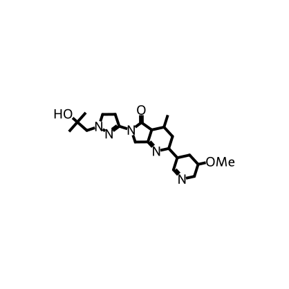 COC1CN=CC(C2CC(C)C3C(=O)N(C4=NN(CC(C)(C)O)CC4)CC3=N2)C1